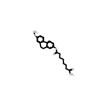 COc1ccc2c(c1)CCc1cc(OC(=O)CCCCCCC(C)=O)ccc1-2